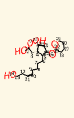 O=C(O)C[C@H]1[C@H](CCCC/C=C\CCO)[C@@H](OC2CCCCO2)C[C@H]1O